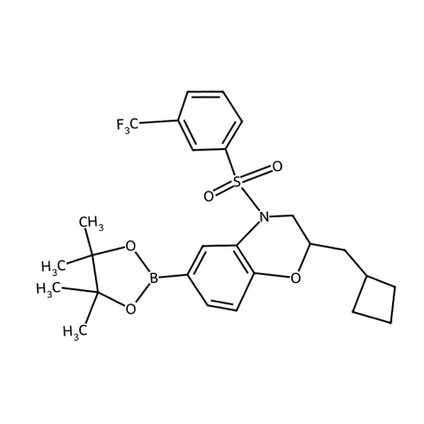 CC1(C)OB(c2ccc3c(c2)N(S(=O)(=O)c2cccc(C(F)(F)F)c2)CC(CC2CCC2)O3)OC1(C)C